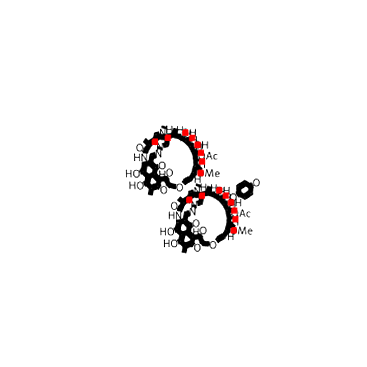 CO[C@H]1/C=C/O[C@@]2(C)Oc3c(C)c(O)c4c(O)c(c(/C=N/N5CCN(C)CC5)c(O)c4c3C2=O)NC(=O)/C(C)=C\C=C\[C@H](C)[C@H](O)[C@@H](C)[C@@H](O)[C@@H](C)[C@H](OC(C)=O)[C@@H]1C.CO[C@H]1/C=C/O[C@@]2(C)Oc3c(C)c(O)c4c(O)c(c(/C=N/N5CCN(C)CC5)c(O)c4c3C2=O)NC(=O)/C(C)=C\C=C\[C@H](C)[C@H](O)[C@@H](C)[C@@H](O)[C@@H](C)[C@H](OC(C)=O)[C@@H]1C.O=C1C=CC(=O)C=C1